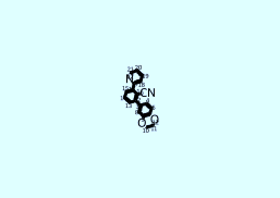 N#Cc1c(-c2ccc3c(c2)OCCO3)cccc1-c1ccccn1